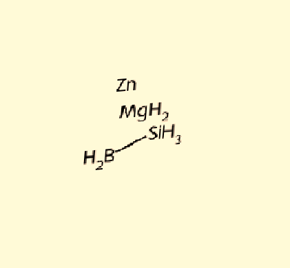 B[SiH3].[MgH2].[Zn]